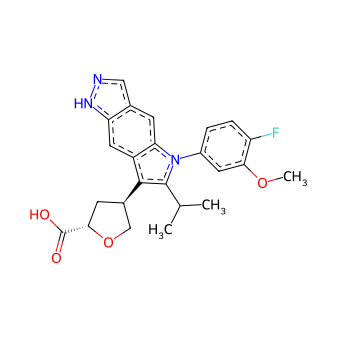 COc1cc(-n2c(C(C)C)c([C@H]3CO[C@H](C(=O)O)C3)c3cc4[nH]ncc4cc32)ccc1F